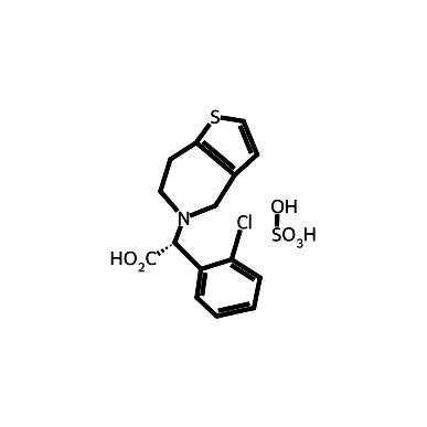 O=C(O)[C@@H](c1ccccc1Cl)N1CCc2sccc2C1.O=S(=O)(O)O